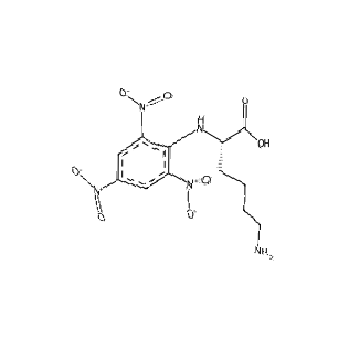 NCCCC[C@H](Nc1c([N+](=O)[O-])cc([N+](=O)[O-])cc1[N+](=O)[O-])C(=O)O